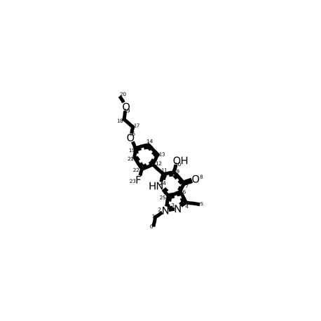 CCn1nc(C)c2c(=O)c(O)c(-c3ccc(OCCOC)cc3F)[nH]c21